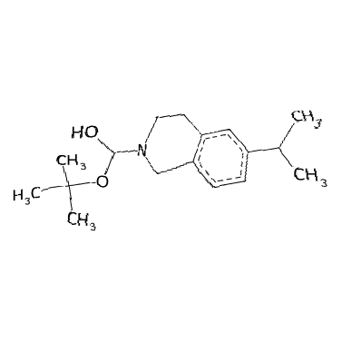 CC(C)c1ccc2c(c1)CCN(C(O)OC(C)(C)C)C2